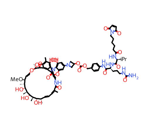 CO[C@H]1/C=C/O[C@@]2(C)Oc3c(C)c(O)c4c(=O)c(c5oc6cc(N7CC(OC(=O)OCc8ccc(NC(=O)[C@H](CCCNC(N)=O)NC(=O)[C@@H](NC(=O)CCCCCN9C(=O)C=CC9=O)C(C)C)cc8)C7)cc(O)c6nc-5c4c3C2=O)NC(=O)/C(C)=C\C=C\[C@H](C)[C@H](O)[C@@H](C)[C@@H](O)[C@@H](C)[C@H](O)[C@@H]1C